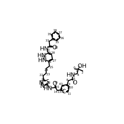 CC(C)(O)CNC(=O)Cc1cccc(CC(=O)Nc2nnc(CCCCC3=CC=C(NC(=O)Cc4ccccc4)NN3)s2)c1